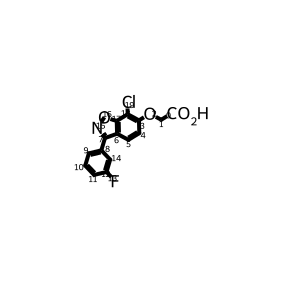 O=C(O)COc1ccc2c(-c3cccc(F)c3)noc2c1Cl